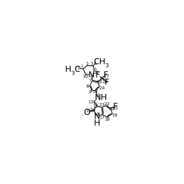 CC1CC(C)CN(c2ccc(N/C=C3/C(=O)Nc4ccc(F)cc43)cc2C(F)(F)F)C1